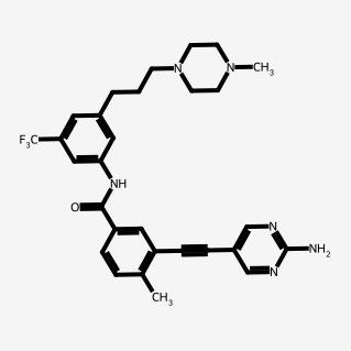 Cc1ccc(C(=O)Nc2cc(CCCN3CCN(C)CC3)cc(C(F)(F)F)c2)cc1C#Cc1cnc(N)nc1